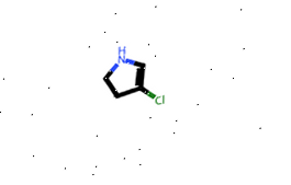 ClC1=CNC[CH]1